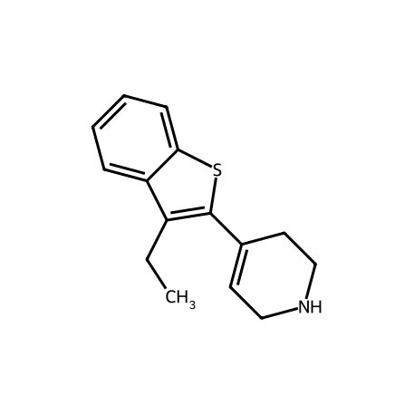 CCc1c(C2=CCNCC2)sc2ccccc12